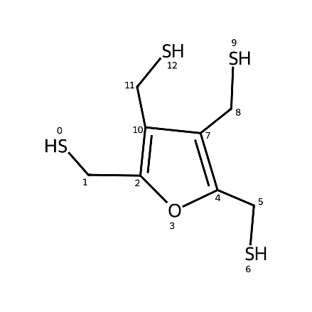 SCc1oc(CS)c(CS)c1CS